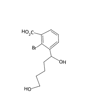 O=C(O)c1cccc(C(O)CCCCO)c1Br